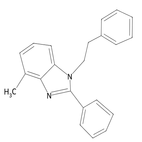 Cc1cccc2c1nc(-c1ccccc1)n2CCc1ccccc1